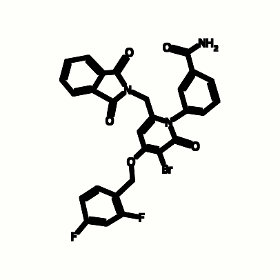 NC(=O)c1cccc(-n2c(CN3C(=O)c4ccccc4C3=O)cc(OCc3ccc(F)cc3F)c(Br)c2=O)c1